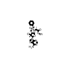 CC(C)OC(=O)[C@@H](C)NP(=O)(Oc1ccccc1)O[C@@H]1CO[C@@H](n2cnc3c(N)ncnc32)[C@]1(C)Cl